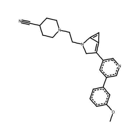 COc1cccc(-c2cncc(C3=C4C=C4N(CCN4CCC(C#N)CC4)C3)c2)c1